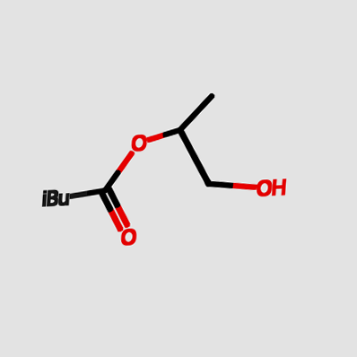 CCC(C)C(=O)OC(C)CO